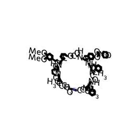 COc1ccc(CC[C@H]2NC(=O)[C@@H]3CCCCN3C(=O)C(=O)C(C)(C)COC(=O)/C=C/CCN(C)C(=O)[C@@H](Cc3ccccc3)NC(=O)CN(C)C(=O)[C@@H](Cc3ccccc3)NC(=O)[C@H](Cc3ccc(OC(=O)N4CCOCC4)cc3)NC(=O)COc3cccc2c3)cc1OC